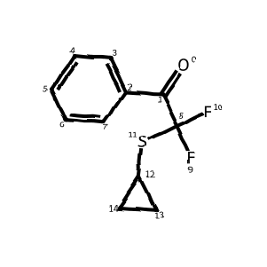 O=C(c1ccccc1)C(F)(F)SC1CC1